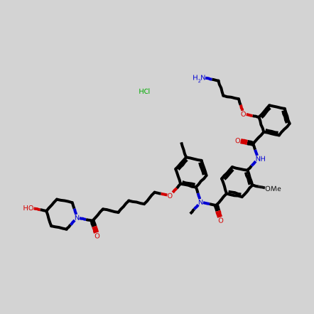 COc1cc(C(=O)N(C)c2ccc(C)cc2OCCCCCC(=O)N2CCC(O)CC2)ccc1NC(=O)c1ccccc1OCCCN.Cl